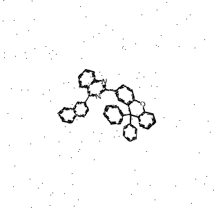 c1ccc(C2(c3ccccc3)c3ccccc3Oc3ccc(-c4nc(-c5ccc6ccccc6c5)c5ccccc5n4)cc32)cc1